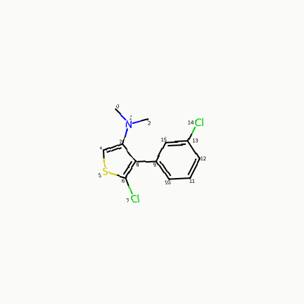 CN(C)c1[c]sc(Cl)c1-c1cccc(Cl)c1